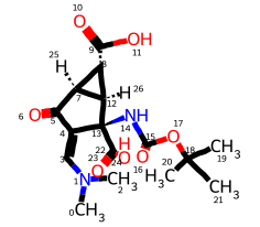 CN(C)/C=C1/C(=O)[C@H]2[C@H](C(=O)O)[C@H]2[C@]1(NC(=O)OC(C)(C)C)C(=O)O